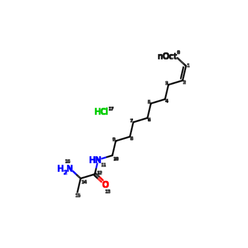 CCCCCCCC/C=C\CCCCCCCCNC(=O)C(C)N.Cl